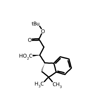 CC(C)(C)OC(=O)C[C@H](C(=O)O)[C@H]1CC(C)(C)c2ccccc21